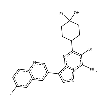 CCC1(O)CCC(c2nc3c(-c4cnc5ccc(F)cc5c4)cnn3c(N)c2Br)CC1